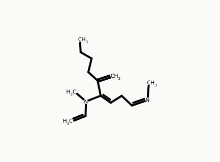 C=CN(C)/C(=C/C/C=N\C)C(=C)CCCC